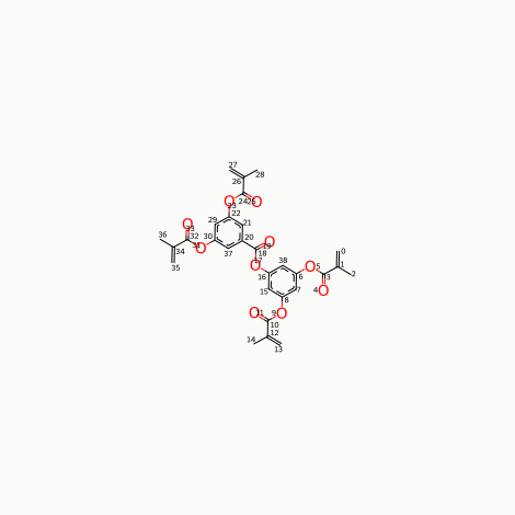 C=C(C)C(=O)Oc1cc(OC(=O)C(=C)C)cc(OC(=O)c2cc(OC(=O)C(=C)C)cc(OC(=O)C(=C)C)c2)c1